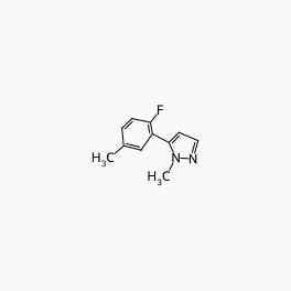 Cc1ccc(F)c(-c2ccnn2C)c1